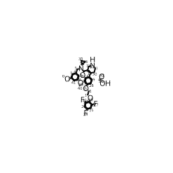 COc1cc(CN(C(=O)C2=C(c3ccc(OCCOc4c(F)cc(F)cc4F)cc3)CCNC2)C2CC2)cc(OC)c1.O=CO